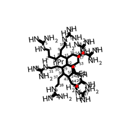 CCCC(CCNC(=N)N)C(CCNC(=N)N)C(CCNC(=N)N)C(CCNC(=N)N)C(CCNC(=N)N)C(CCNC(=N)N)C(CCNC(=N)N)C(CC)CCCNC(=N)N